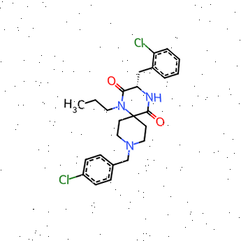 CCCN1C(=O)[C@H](Cc2ccccc2Cl)NC(=O)C12CCN(Cc1ccc(Cl)cc1)CC2